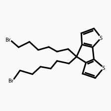 BrCCCCCCC1(CCCCCCBr)c2ccsc2-c2sccc21